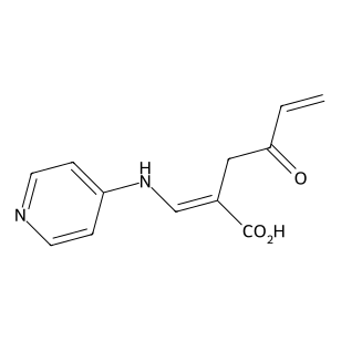 C=CC(=O)CC(=CNc1ccncc1)C(=O)O